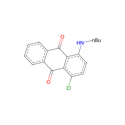 CCCCNc1ccc(Cl)c2c1C(=O)c1ccccc1C2=O